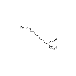 C=CCC(CCCCCC/C=C/CCCCC)C(=O)O